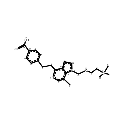 Cc1cnc(CCc2ccc(C(=O)O)cc2)c2ccn(COCC[Si](C)(C)C)c12